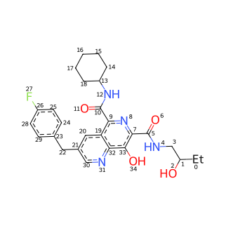 CCC(O)CNC(=O)c1nc(C(=O)NC2CCCCC2)c2cc(Cc3ccc(F)cc3)cnc2c1O